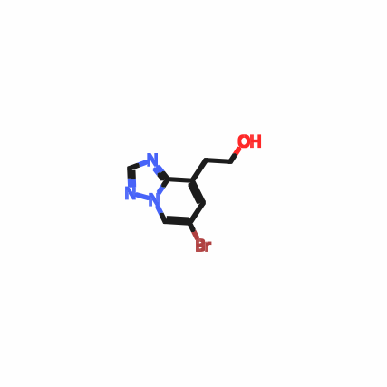 OCCc1cc(Br)cn2ncnc12